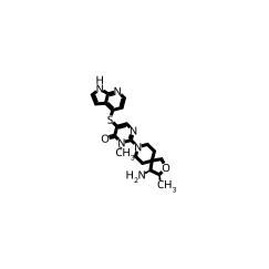 C[C@@H]1OCC2(CCN(c3ncc(Sc4ccnc5[nH]ccc45)c(=O)n3C)CC2)[C@@H]1N